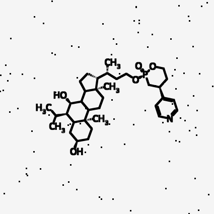 CC(C)[C@@H]1C2C[C@H](O)CC[C@]2(C)C2CC[C@@]3(C)C(CC[C@@H]3[C@H](C)CCO[P@]3(=O)C[C@H](c4ccncc4)CCO3)C2[C@@H]1O